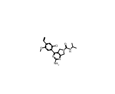 C=Cc1cc(Cl)c(-c2nc(N)nc3c2CN(C(=O)NC(C)C)C3)cc1OC